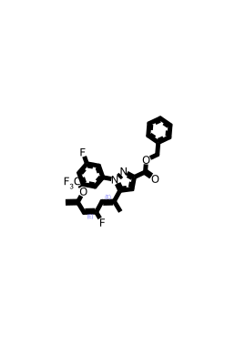 C=C(/C=C(F)\C=C(/C)c1cc(C(=O)OCc2ccccc2)nn1-c1cccc(F)c1)OC(F)(F)F